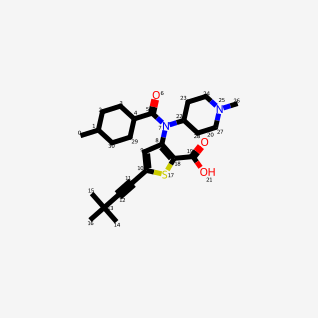 CC1CCC(C(=O)N(c2cc(C#CC(C)(C)C)sc2C(=O)O)C2CCN(C)CC2)CC1